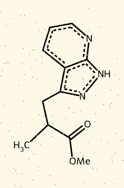 COC(=O)C(C)Cc1n[nH]c2ncccc12